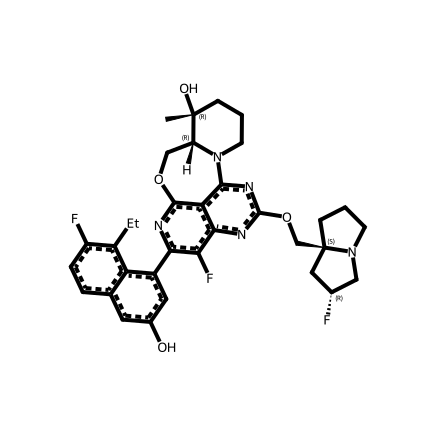 CCc1c(F)ccc2cc(O)cc(-c3nc4c5c(nc(OC[C@@]67CCCN6C[C@H](F)C7)nc5c3F)N3CCC[C@@](C)(O)[C@H]3CO4)c12